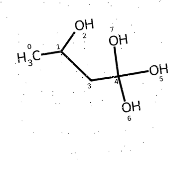 C[C](O)CC(O)(O)O